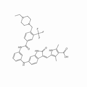 CCN1CCN(Cc2ccc(C(=O)Nc3cccc(Nc4ccc5c(c4)NC(=O)/C5=C\c4[nH]c(C)c(C(=O)O)c4C)c3)cc2C(F)(F)F)CC1